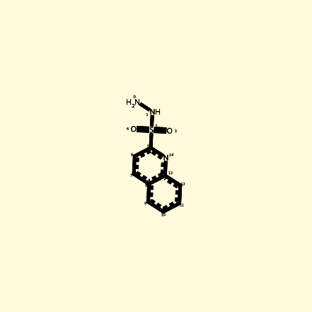 NNS(=O)(=O)c1ccc2ccccc2n1